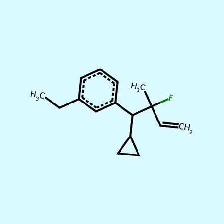 C=CC(C)(F)C(c1cccc(CC)c1)C1CC1